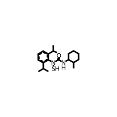 CC(C)c1cccc(C(C)C)c1N(S)C(=O)NC1CCCCC1C